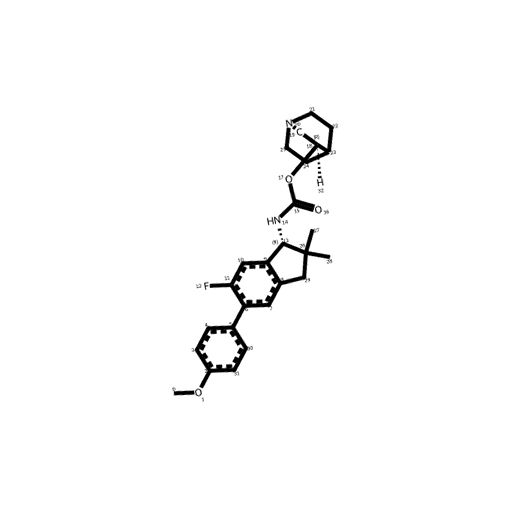 COc1ccc(-c2cc3c(cc2F)[C@H](NC(=O)O[C@H]2CN4CCC2CC4)C(C)(C)C3)cc1